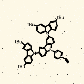 C#Cc1ccc(-n2c3ccc(-n4c5ccc(C(C)(C)C)cc5c5cc(C(C)(C)C)ccc54)cc3c3cc(-n4c5ccc(C(C)(C)C)cc5c5cc(C(C)(C)C)ccc54)ccc32)cc1